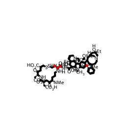 CC[C@]1(O)C[C@H]2CN(CCc3c([nH]c4ccccc34)[C@@](C(=O)OC)(c3cc4c(cc3OC)N(C)[C@H]3[C@@](O)(C(=O)NNC(=O)OCCSSC[C@H](CC(=O)[C@H](CC(=O)O)NC(=O)[C@H](CC(=O)O)CC(=O)[C@H](CCCNC(=N)N)NC)C(=O)O)[C@H](O)[C@]5(CC)C=CCN6CC[C@]43[C@@H]65)C2)C1